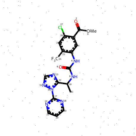 COC(=O)c1cc(NC(=O)NC(C)c2ncnn2-c2ncccn2)c(C(F)(F)F)cc1Cl